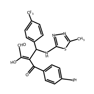 Cc1nnc(NC(/C(C(=O)c2ccc(C(C)C)cc2)=C(/O)C=O)c2ccc(C(F)(F)F)cc2)s1